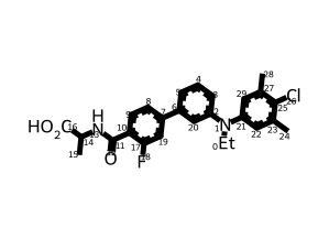 CCN(c1cccc(-c2ccc(C(=O)NC(C)C(=O)O)c(F)c2)c1)c1cc(C)c(Cl)c(C)c1